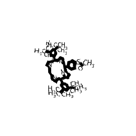 CC(=O)Sc1ccc(C2=C3C=CC(=N3)C(c3cc(C(C)(C)C)cc(C(C)(C)C)c3)=C3C=CC(=N3)C=C3C=CC(=N3)C(c3cc(C(C)(C)C)cc(C(C)(C)C)c3)=C3C=CC2=N3)cc1